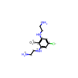 NCCNc1cc(Cl)cc(NCCN)c1[N+](=O)[O-]